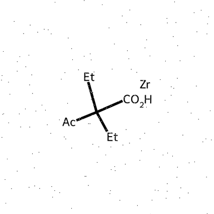 CCC(CC)(C(C)=O)C(=O)O.[Zr]